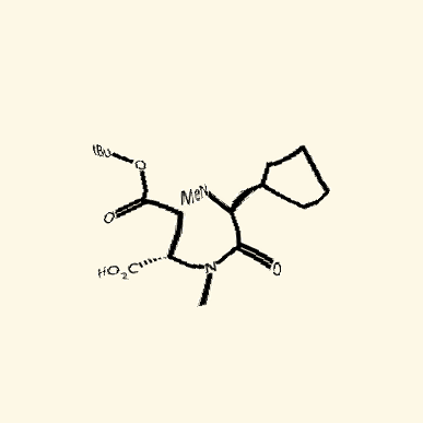 CNC(C(=O)N(C)[C@@H](CC(=O)OC(C)(C)C)C(=O)O)C1CCCC1